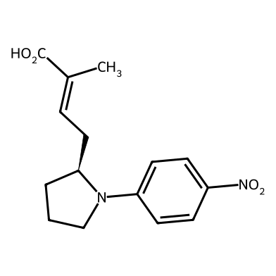 CC(=CC[C@@H]1CCCN1c1ccc([N+](=O)[O-])cc1)C(=O)O